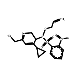 C=CCON(C1CN=C(CO)C=C1C1CC1)S(=O)(=O)c1ccccc1[N+](=O)[O-]